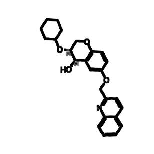 O[C@@H]1c2cc(OCc3ccc4ccccc4n3)ccc2OC[C@H]1OC1CCCCC1